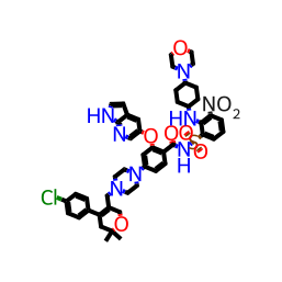 CC1(C)CC(c2ccc(Cl)cc2)=C(CN2CCN(c3ccc(C(=O)NS(=O)(=O)c4cccc([N+](=O)[O-])c4NC4CCC(N5CCOCC5)CC4)c(Oc4cnc5[nH]ccc5c4)c3)CC2)CO1